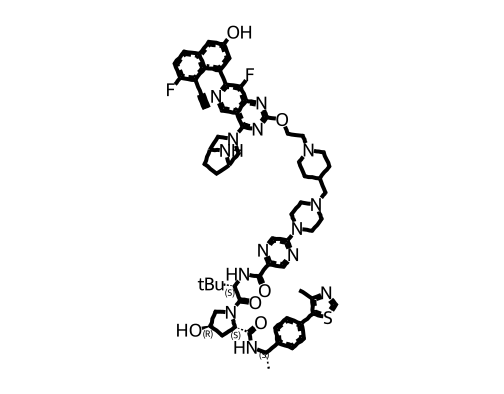 C#Cc1c(F)ccc2cc(O)cc(-c3ncc4c(N5CC6CCC(C5)N6)nc(OCCN5CCC(CN6CCN(c7cnc(C(=O)N[C@H](C(=O)N8C[C@H](O)C[C@H]8C(=O)N[C@@H](C)c8ccc(-c9scnc9C)cc8)C(C)(C)C)cn7)CC6)CC5)nc4c3F)c12